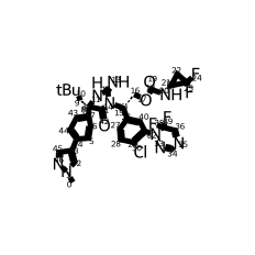 Cn1cc(-c2ccc([C@@]3(CC(C)(C)C)NC(=N)N([C@H](COC(=O)N[C@H]4CC4(F)F)c4ccc(Cl)c(N5N=CN=CC5(F)F)c4)C3=O)cc2)cn1